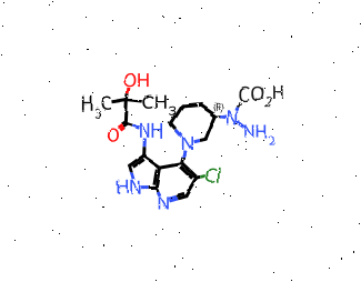 CC(C)(O)C(=O)Nc1c[nH]c2ncc(Cl)c(N3CCC[C@@H](N(N)C(=O)O)C3)c12